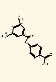 NC(=O)c1ccc(OC(=O)c2cc(N)cc(N)c2)cc1